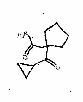 NC(=O)C1(C(=O)C2CC2)CCCC1